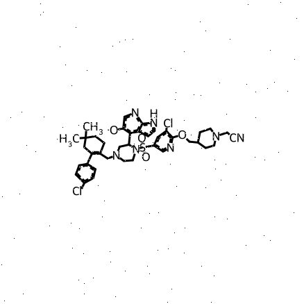 CC1(C)CCC(CN2CCN(S(=O)(=O)c3cnc(OCC4CCN(CC#N)CC4)c(Cl)c3)C(c3c([O])cnc4[nH]ccc34)C2)=C(c2ccc(Cl)cc2)C1